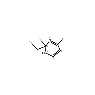 FCC1(F)N=C(F)C=CN1